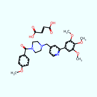 COc1ccc(C(=O)N2CCN(Cc3ccnc(-c4cc(OC)c(OC)c(OC)c4)c3)CC2)cc1.O=C(O)C=CC(=O)O